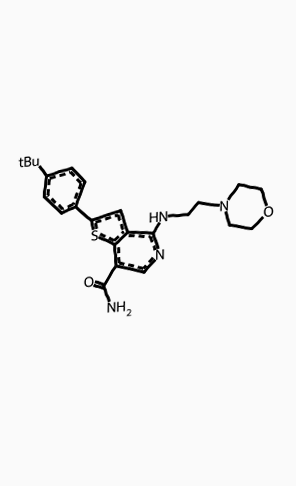 CC(C)(C)c1ccc(-c2cc3c(NCCN4CCOCC4)ncc(C(N)=O)c3s2)cc1